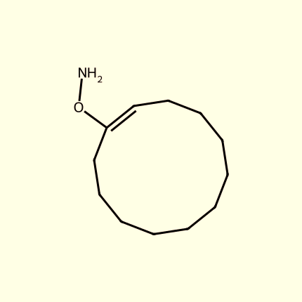 NOC1=CCCCCCCCCCC1